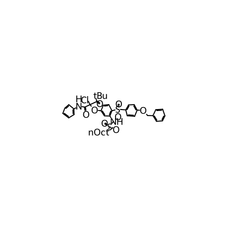 CCCCCCCCS(=O)(=O)Nc1cc(OC(Cl)(C(=O)Nc2ccccc2)C(=O)C(C)(C)C)ccc1S(=O)(=O)c1ccc(OCc2ccccc2)cc1